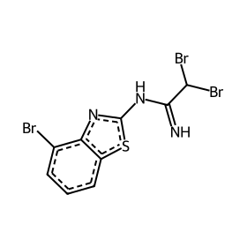 N=C(Nc1nc2c(Br)cccc2s1)C(Br)Br